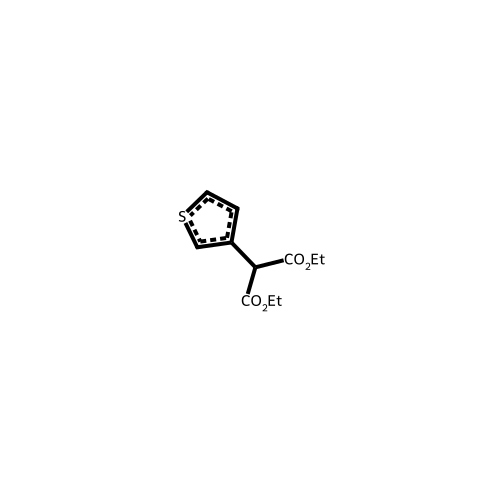 CCOC(=O)C(C(=O)OCC)c1ccsc1